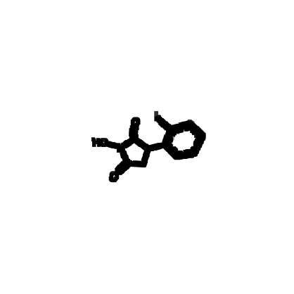 O=C1CC(c2ccccc2I)C(=O)N1O